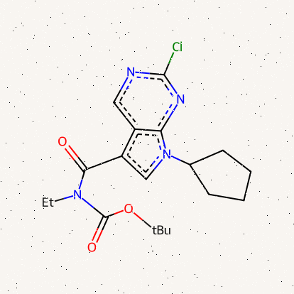 CCN(C(=O)OC(C)(C)C)C(=O)c1cn(C2CCCC2)c2nc(Cl)ncc12